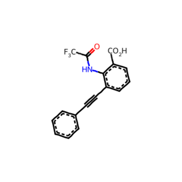 O=C(O)c1cccc(C#Cc2ccccc2)c1NC(=O)C(F)(F)F